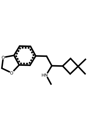 CNC(Cc1ccc2c(c1)OCO2)C1CC(C)(C)C1